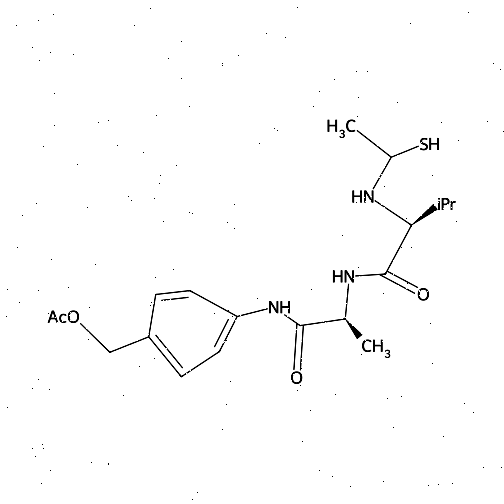 CC(=O)OCc1ccc(NC(=O)[C@H](C)NC(=O)[C@@H](NC(C)S)C(C)C)cc1